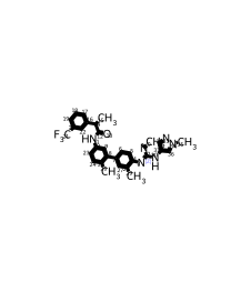 C=N/C(=N\c1ccc(-c2cc(NC(=O)C(C)c3cccc(C(F)(F)F)c3)ccc2C)cc1C)Nc1cnn(C)c1